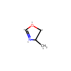 CC1[C]O[C]=N1